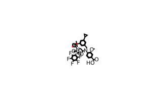 COc1cc(C(=O)O)ccc1N(Cc1cc(C2CC2)cc(C(C)(C)C)c1)C(=O)CN(C12CC(C1)C2)S(=O)(=O)c1c(F)c(F)c(F)c(F)c1F